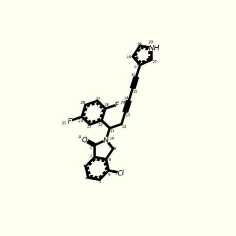 O=C1c2cccc(Cl)c2CN1C(CC#CC#Cc1cc[nH]c1)c1cc(F)ccc1F